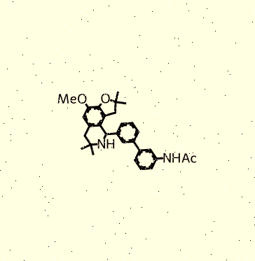 COc1cc2c(c3c1OC(C)(C)C3)C(c1cccc(-c3cccc(NC(C)=O)c3)c1)NC(C)(C)C2